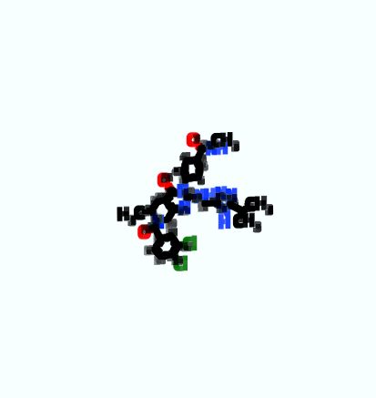 CNC(=O)c1ccc(-n2c(NCc3nnc(C(C)C)[nH]3)nc3c(c2=O)C[C@@H](C)N(C(=O)c2ccc(Cl)c(Cl)c2)C3)cc1